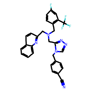 N#Cc1ccc(Cn2cnnc2CN(Cc2ccc3ccccc3n2)Cc2ccc(F)cc2C(F)(F)F)cc1